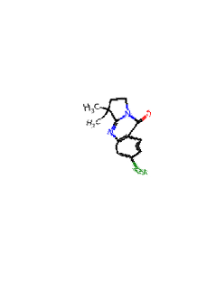 CC1(C)CCn2c1nc1cc(Br)ccc1c2=O